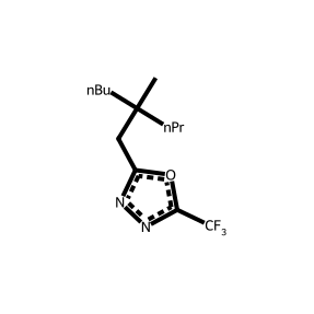 CCCCC(C)(CCC)Cc1nnc(C(F)(F)F)o1